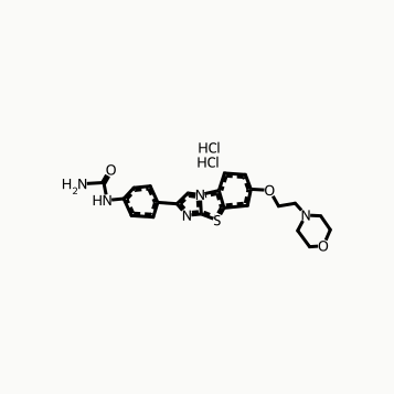 Cl.Cl.NC(=O)Nc1ccc(-c2cn3c(n2)sc2cc(OCCN4CCOCC4)ccc23)cc1